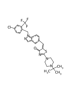 CC(C)(C)N1CCN(C2=NC(=O)C(=Cc3ccc4c(cnn4Cc4ccc(Cl)cc4C(F)(F)F)c3)S2)CC1